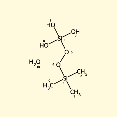 C[Si](C)(C)OO[Si](O)(O)O.O